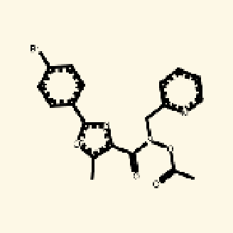 CC(=O)ON(Cc1ccccn1)C(=O)c1nc(-c2ccc(Br)cc2)oc1C